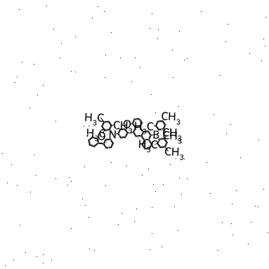 Cc1cc(C)c(B(c2c(C)cc(C)cc2C)c2cc3c4cccc5c4c(cc3c3ccccc23)-c2ccc(N(c3c(C)cc(C)cc3C)c3cccc4c3oc3ccccc34)cc2O5)c(C)c1